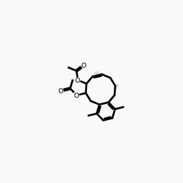 CC(=O)OC1/C=C\C[C]Cc2c(C)ccc(C)c2CC1OC(C)=O